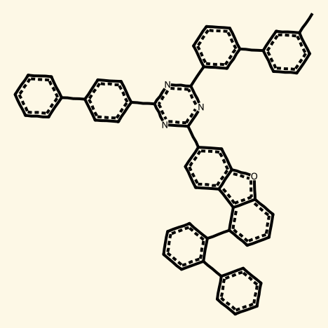 Cc1cccc(-c2cccc(-c3nc(-c4ccc(-c5ccccc5)cc4)nc(-c4ccc5c(c4)oc4cccc(-c6ccccc6-c6ccccc6)c45)n3)c2)c1